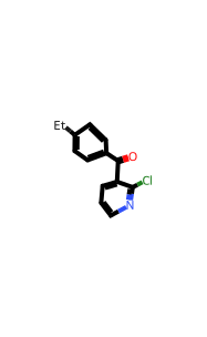 CCc1ccc(C(=O)c2cccnc2Cl)cc1